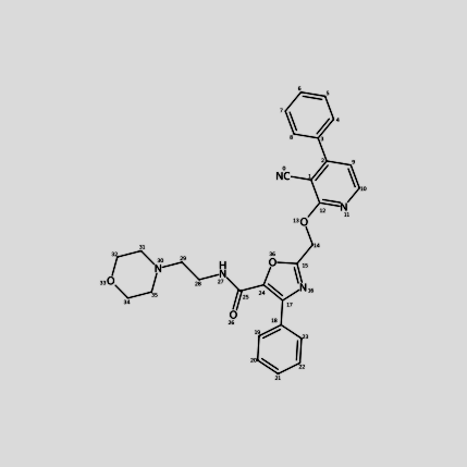 N#Cc1c(-c2ccccc2)ccnc1OCc1nc(-c2ccccc2)c(C(=O)NCCN2CCOCC2)o1